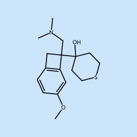 COc1ccc2c(c1)C(CN(C)C)(C1(O)CCSCC1)C2